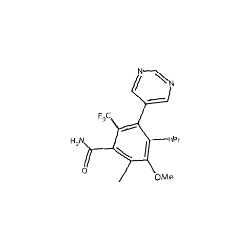 CCCc1c(OC)c(C)c(C(N)=O)c(C(F)(F)F)c1-c1cncnc1